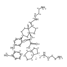 C[C@]12CC[C@H](c3ccc(O)cc3)C[C@@]1(OC(=O)C(=O)O[C@]13CC[C@H](CNOCCN)[C@@]1(C)CC[C@H](c1ccc(O)cc1)C3)CC[C@@H]2CNOCCN